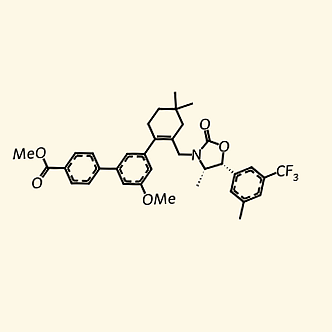 COC(=O)c1ccc(-c2cc(OC)cc(C3=C(CN4C(=O)O[C@H](c5cc(C)cc(C(F)(F)F)c5)[C@@H]4C)CC(C)(C)CC3)c2)cc1